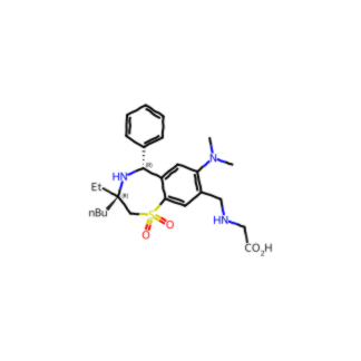 CCCC[C@]1(CC)CS(=O)(=O)c2cc(CNCC(=O)O)c(N(C)C)cc2[C@@H](c2ccccc2)N1